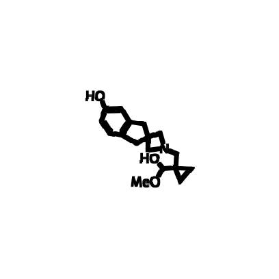 COC(O)C1(CN2CC3(Cc4ccc(O)cc4C3)C2)CC1